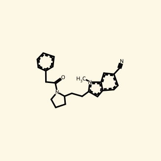 Cn1c(CCC2CCCN2C(=O)Cc2ccccc2)cc2ccc(C#N)cc21